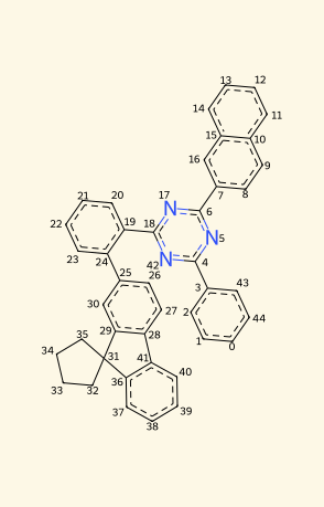 c1ccc(-c2nc(-c3ccc4ccccc4c3)nc(-c3ccccc3-c3ccc4c(c3)C3(CCCC3)c3ccccc3-4)n2)cc1